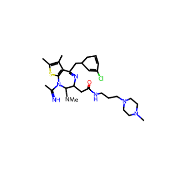 CNC1C(CC(=O)NCCCN2CCN(C)CC2)N=C(CC2C=C(Cl)C=CC2)c2c(sc(C)c2C)N1C(C)=N